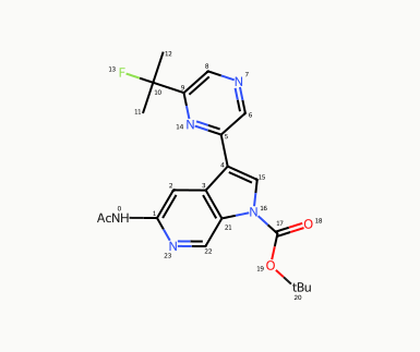 CC(=O)Nc1cc2c(-c3cncc(C(C)(C)F)n3)cn(C(=O)OC(C)(C)C)c2cn1